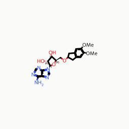 COc1cc2c(cc1OC)CC(OC[C@H]1O[C@@H](n3cnc4c(N)ncnc43)[C@H](O)[C@@H]1O)C2